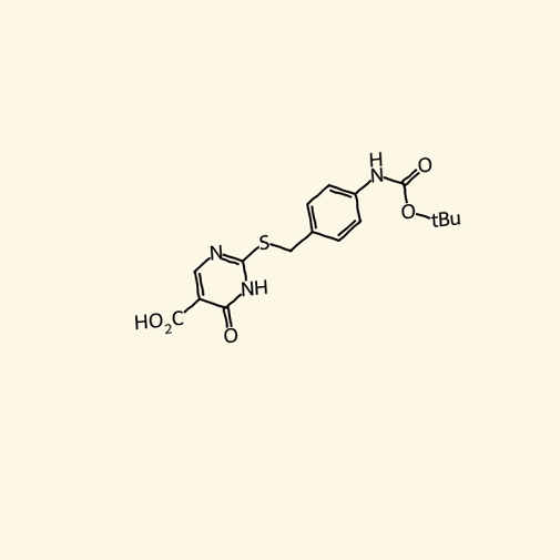 CC(C)(C)OC(=O)Nc1ccc(CSc2ncc(C(=O)O)c(=O)[nH]2)cc1